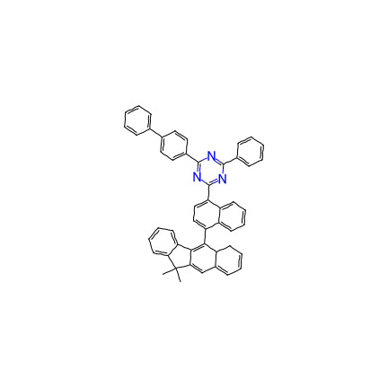 CC1(C)C2=CC3=CC=CCC3C(c3ccc(-c4nc(-c5ccccc5)nc(-c5ccc(-c6ccccc6)cc5)n4)c4ccccc34)=C2c2ccccc21